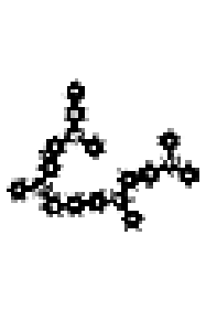 c1ccc(-c2ccc(-c3cc(-c4ccc5sc6cc(-c7cc(-c8ccccc8)nc(-c8cccc(-c9ccc(-c%10ccc(-c%11nc(-c%12ccccc%12)cc(-c%12ccc%13sc%14cc(-c%15cc(-c%16ccccc%16)nc(-c%16ccccc%16)n%15)ccc%14c%13c%12)n%11)cc%10)cc9)c8)n7)ccc6c5c4)nc(-c4ccccc4)n3)cc2)cc1